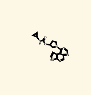 O=C(NC1CC1)OC1CCN(c2ncnc3cnc4[nH]ccc4c23)C1